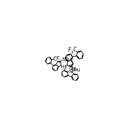 CC(C)(C)C1=Cc2c(-c3ccccc3C(F)(F)F)cccc2[CH]1[Hf]([c]1cccc2c1[SiH2]c1ccccc1-2)[CH]1C(C(C)(C)C)=Cc2c(-c3ccccc3C(F)(F)F)cccc21